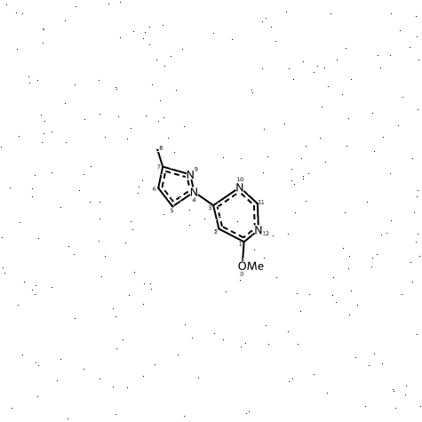 COc1cc(-n2ccc(C)n2)ncn1